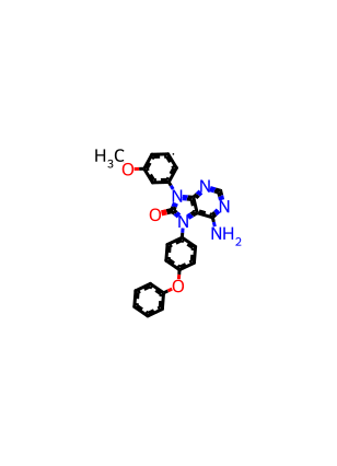 COc1c[c]cc(-n2c(=O)n(-c3ccc(Oc4ccccc4)cc3)c3c(N)ncnc32)c1